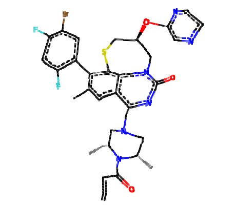 C=CC(=O)N1[C@H](C)CN(c2nc(=O)n3c4c(c(-c5cc(Br)c(F)cc5F)c(C)cc24)SC[C@@H](Oc2cnccn2)C3)C[C@@H]1C